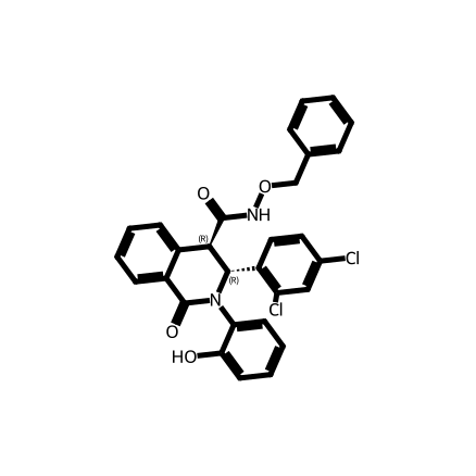 O=C(NOCc1ccccc1)[C@@H]1c2ccccc2C(=O)N(c2ccccc2O)[C@H]1c1ccc(Cl)cc1Cl